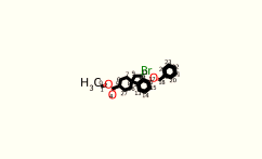 CCOC(=O)C1CCC(CCBr)(c2cccc(OCc3ccccc3)c2)CC1